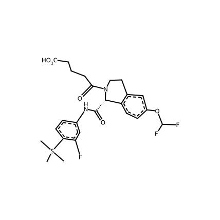 CS(C)(C)c1ccc(NC(=O)[C@H]2c3ccc(OC(F)F)cc3CCN2C(=O)CCCC(=O)O)cc1F